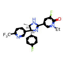 CCn1cc(C2=N[C@@](c3ccc(F)cc3)(c3ccc(C(F)(F)F)nc3)[C@H](C)N2)cc(F)c1=O